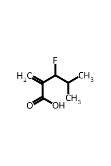 C=C(C(=O)O)C(F)C(C)C